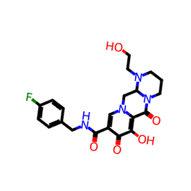 O=C(NCc1ccc(F)cc1)c1cn2c(c(O)c1=O)C(=O)N1CCCN(CCO)C1C2